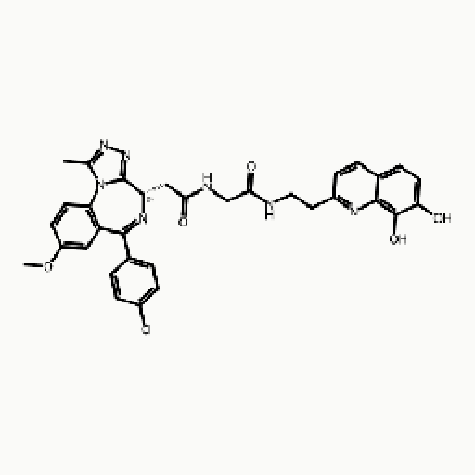 COc1ccc2c(c1)C(c1ccc(Cl)cc1)=N[C@@H](CC(=O)NCC(=O)NCCc1ccc3ccc(O)c(O)c3n1)c1nnc(C)n1-2